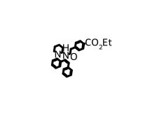 CCOC(=O)c1ccc(CC(=O)NC(=Cc2ccccc2)c2ccccc2N2CCCCC2)cc1